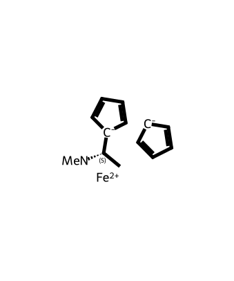 CN[C@@H](C)[c-]1cccc1.[Fe+2].c1cc[cH-]c1